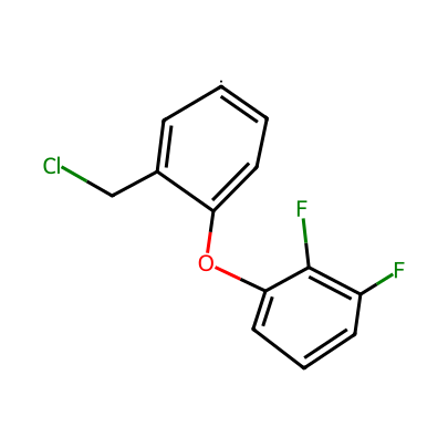 Fc1cccc(Oc2cc[c]cc2CCl)c1F